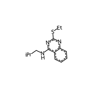 CCSc1nc(NCC(C)C)c2ccccc2n1